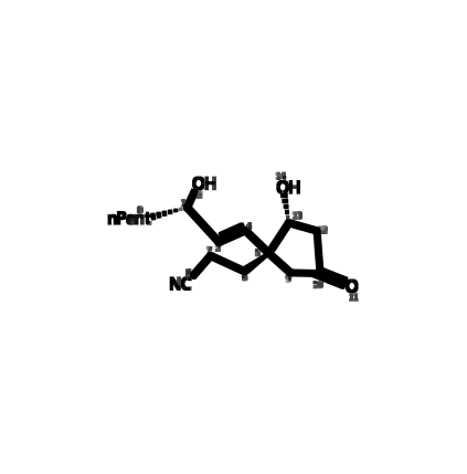 CCCCC[C@H](O)/C=C/[C@@]1(CCC#N)CC(=O)C[C@H]1O